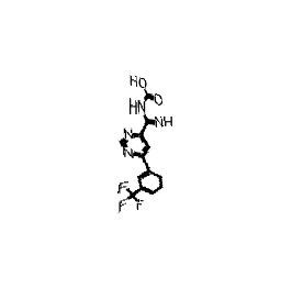 N=C(NC(=O)O)c1cc(C2=CC(C(F)(F)F)=CCC2)ncn1